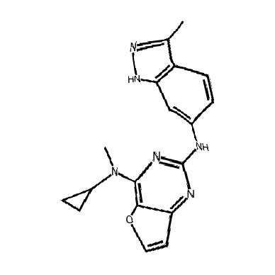 Cc1n[nH]c2cc(Nc3nc(N(C)C4CC4)c4occc4n3)ccc12